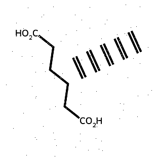 C=C.C=C.C=C.C=C.C=C.O=C(O)CCCCC(=O)O